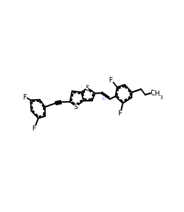 CCCc1cc(F)c(/C=C/c2cc3sc(C#Cc4cc(F)cc(F)c4)cc3s2)c(F)c1